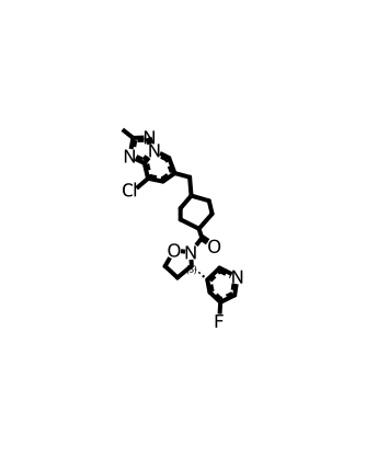 Cc1nc2c(Cl)cc(CC3CCC(C(=O)N4OCC[C@H]4c4cncc(F)c4)CC3)cn2n1